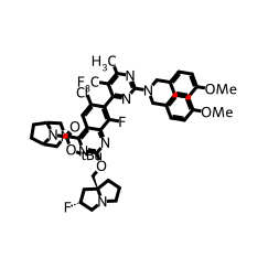 COc1ccc(CN(Cc2ccc(OC)cc2)c2nc(C)c(C(F)(F)F)c(-c3c(Cl)cc4c(N5CC6CCC(C5)N6C(=O)OC(C)(C)C)nc(OC[C@@]56CCCN5C[C@H](F)C6)nc4c3F)n2)cc1